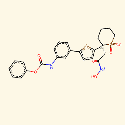 O=C(C[C@]1(c2ccc(-c3cccc(NC(=O)Oc4ccccc4)c3)s2)CCCCS1(=O)=O)NO